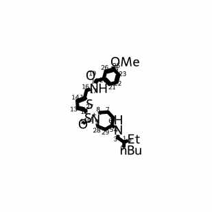 CCCCC(CC)CNC1CCCN([S+]([O-])c2ccc(CNC(=O)c3cccc(OC)c3)s2)CC1